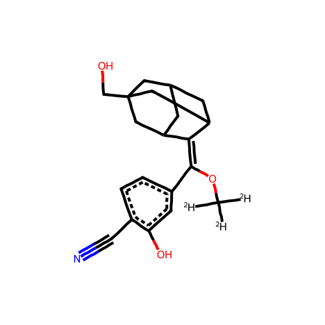 [2H]C([2H])([2H])OC(=C1C2CC3CC1CC(CO)(C3)C2)c1ccc(C#N)c(O)c1